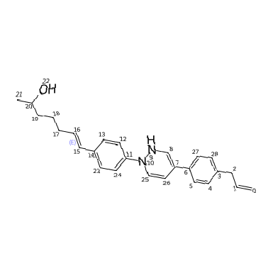 C=CCc1ccc(C2=CNN(c3ccc(/C=C/CCCC(C)O)cc3)C=C2)cc1